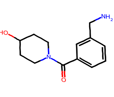 NCc1cccc(C(=O)N2CCC(O)CC2)c1